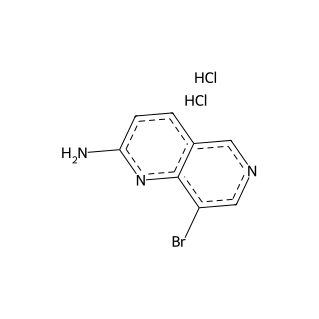 Cl.Cl.Nc1ccc2cncc(Br)c2n1